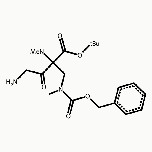 CNC(CN(C)C(=O)OCc1ccccc1)(C(=O)CN)C(=O)OC(C)(C)C